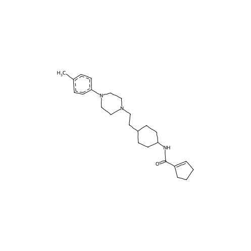 Cc1ccc(N2CCN(CCC3CCC(NC(=O)C4=CCCC4)CC3)CC2)cc1